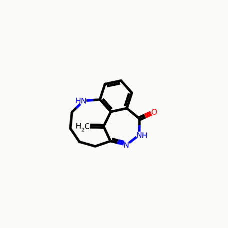 C=C1C2=NNC(=O)c3cccc(c31)NCCCC2